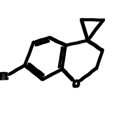 CCc1ccc2c(c1)OCCC21CC1